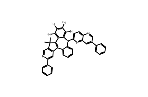 [2H]c1c([2H])c([2H])c2c(c1[2H])C1=C(c3ccccc3N2c2ccc3ncc(-c4ccccc4)cc3n2)c2cc(-c3ccccc3)ncc2C1(C)C